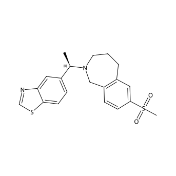 C[C@H](c1ccc2scnc2c1)N1CCCc2cc(S(C)(=O)=O)ccc2C1